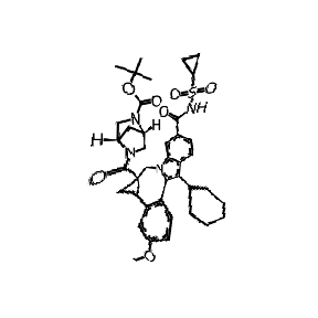 COc1ccc2c(c1)C1CC1(C(=O)N1C[C@@H]3C[C@H]1CN3C(=O)OC(C)(C)C)Cn1c-2c(C2CCCCC2)c2ccc(C(=O)NS(=O)(=O)C3CC3)cc21